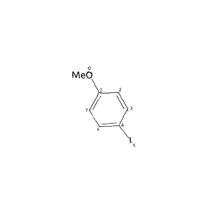 COc1c[c]c(I)cc1